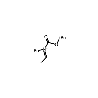 [CH2]C=[N+](C(=O)OC(C)(C)C)C(C)(C)C